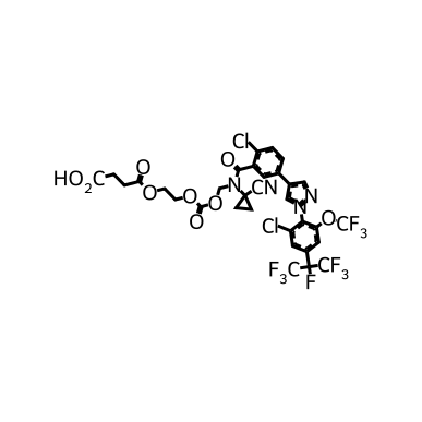 N#CC1(N(COC(=O)OCCOC(=O)CCC(=O)O)C(=O)c2cc(-c3cnn(-c4c(Cl)cc(C(F)(C(F)(F)F)C(F)(F)F)cc4OC(F)(F)F)c3)ccc2Cl)CC1